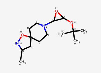 CC1CC2(CCN(C3OC3OC(C)(C)C)CC2)ON1